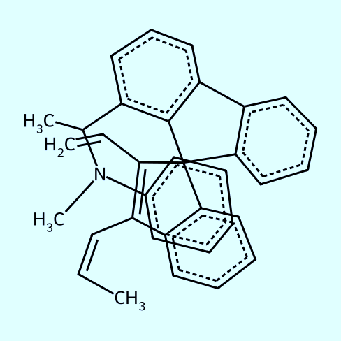 C=CC1=C(/C=C\C)c2ccccc2C12c1ccccc1-c1cccc(C(C)N(C)c3ccccc3)c12